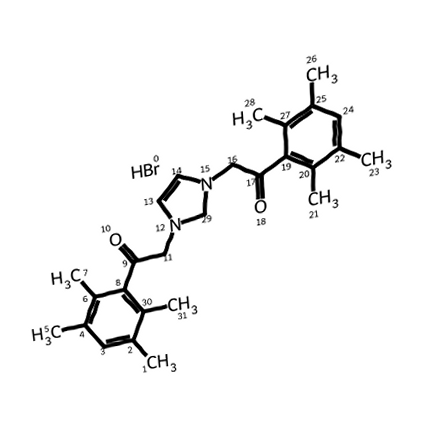 Br.Cc1cc(C)c(C)c(C(=O)CN2C=CN(CC(=O)c3c(C)c(C)cc(C)c3C)C2)c1C